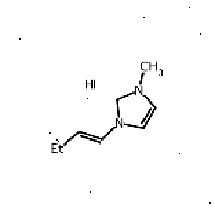 CCC=CN1C=CN(C)C1.I